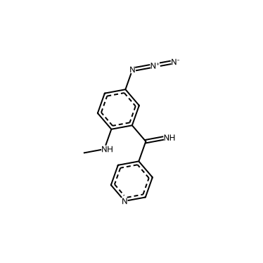 CNc1ccc(N=[N+]=[N-])cc1C(=N)c1ccncc1